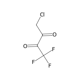 O=C(CCl)C(=O)C(F)(F)F